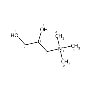 C[N+](C)(C)CC(O)CO